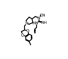 C=CCNC(=N)N(C#N)CC1CCN(CC2COc3cc(C)ccc3O2)CC1